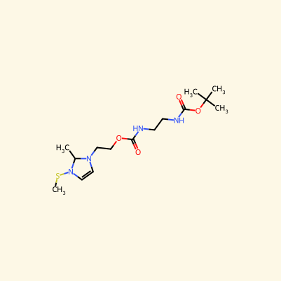 CSN1C=CN(CCOC(=O)NCCNC(=O)OC(C)(C)C)C1C